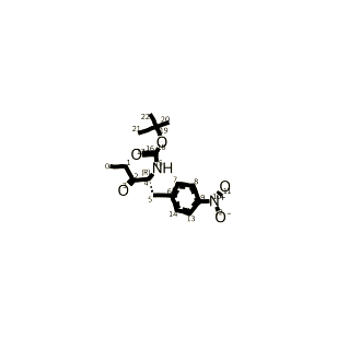 CCC(=O)[C@@H](Cc1ccc([N+](=O)[O-])cc1)NC(=O)OC(C)(C)C